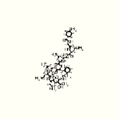 CCNC(=O)C(NC(=O)[C@H](CCN)NC(=O)[C@H](CCN)NC(=O)[C@H](CC(C)C)NC(=O)[C@@H](Cc1ccccc1)NC(=O)[C@H](CCN)NC(=O)CNC(=O)[C@H](CCN)NC(=O)CNC(=O)[C@H]1CC[C@H](N)CC1)C(C)O